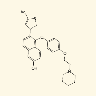 CC(=O)C1=CC(c2ccc3cc(O)ccc3c2Oc2ccc(OCCN3CCCCC3)cc2)CS1